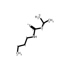 CCCCNC(=S)OC(C)C